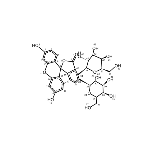 O=C1OC2(c3ccc(O)cc3Oc3cc(O)ccc32)c2ccc([C@@H]3O[C@H](CO)[C@H](O)[C@H](O)[C@H]3O)c([C@@H]3O[C@H](CO)[C@H](O)[C@H](O)[C@H]3O)c21